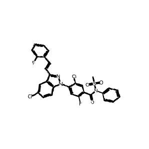 CS(=O)(=O)N(C(=O)c1cc(Cl)c(-n2nc(/C=C/c3ccccc3F)c3cc(Cl)ccc32)cc1F)c1ccccc1